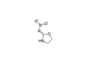 O=[N+]([O-])N=C1NCCO1